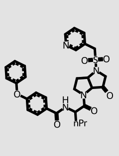 CCCC(NC(=O)c1ccc(Oc2ccccc2)cc1)C(=O)N1CCC2C1C(=O)CN2S(=O)(=O)Cc1cccnc1